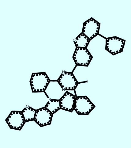 Ic1c(-c2ccccc2)nc(-c2ccccc2-n2c3ccccc3c3ccc4c5ccccc5oc4c32)nc1-c1ccc2c(c1)oc1cccc(-c3ccccc3)c12